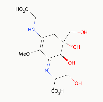 COC1=C(NCC(=O)O)C[C@@](O)(CO)[C@@H](O)C1=NC(CO)C(=O)O